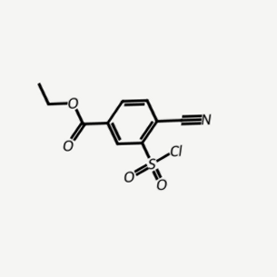 CCOC(=O)c1ccc(C#N)c(S(=O)(=O)Cl)c1